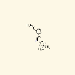 COCc1cccc(O/N=C\[C@@H]2COC(C)(C)O2)c1